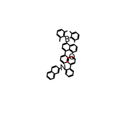 Cc1cccc(C)c1B(c1c(C)cccc1C)c1ccc2c3c(cccc13)Oc1cc(N(c3ccc4ccccc4c3)c3ccccc3-c3ccccc3)ccc1-2